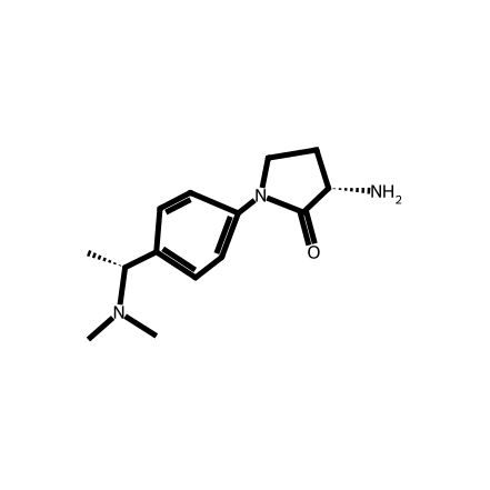 C[C@H](c1ccc(N2CC[C@H](N)C2=O)cc1)N(C)C